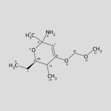 CC[C@H]1OC(C)(N)C=C(OCOC)C1C